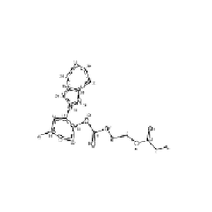 CCC(=O)OCCOC(=O)Oc1ccc(C)cc1-n1nc2ccccc2n1